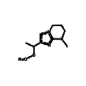 COOC(C)c1cn2c(n1)N(C)CCC2